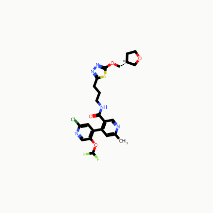 Cc1cc(-c2cc(Cl)ncc2OC(F)F)c(C(=O)NCCCc2nnc(OC[C@@H]3CCOC3)s2)cn1